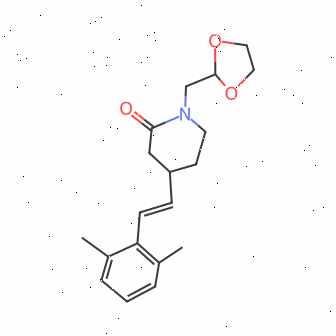 Cc1cccc(C)c1C=CC1CCN(CC2OCCO2)C(=O)C1